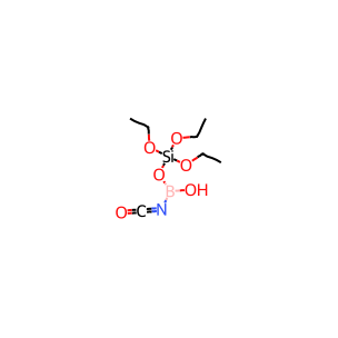 CCO[Si](OCC)(OCC)OB(O)N=C=O